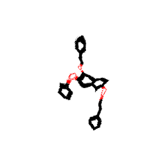 c1ccc(CCOc2ccc3cc(OCCc4ccccc4)c(Oc4ccccc4)cc3c2)cc1